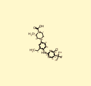 CCc1cc(N2CCN(C(=O)O)[C@@H](C)C2)ccc1Nc1ncc(C(F)(F)F)c(Cl)n1